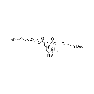 CCCCCCCCCCCCCCOCCOC(=O)CCN(CCC(=O)OCCOCCCCCCCCCCCCCC)Cc1nccn1C